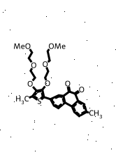 COCCOCCOc1c(C)sc(-c2ccc3c(c2)C(=O)C(=O)c2cc(C)ccc2-3)c1OCCOCCOC